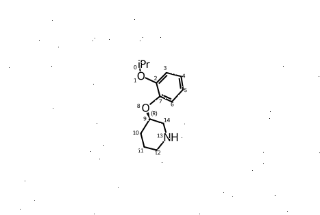 CC(C)Oc1ccccc1O[C@@H]1CCCNC1